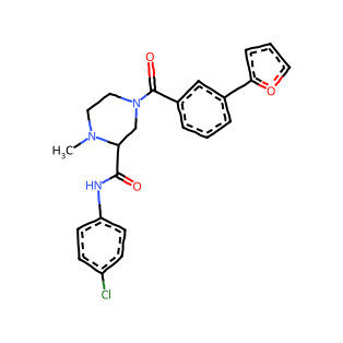 CN1CCN(C(=O)c2cccc(-c3ccco3)c2)CC1C(=O)Nc1ccc(Cl)cc1